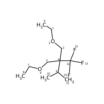 CCOCC(COCC)(C(C)C)C(F)(F)F